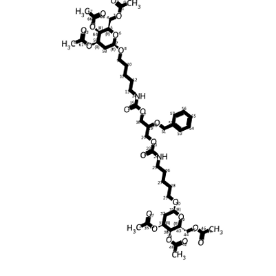 CC(=O)OC[C@H]1O[C@@H](OCCCCCNC(=O)OCC(COC(=O)NCCCCCO[C@H]2C[C@@H](OC(C)=O)[C@@H](OC(C)=O)[C@@H](COC(C)=O)O2)OCc2ccccc2)C[C@@H](OC(C)=O)[C@H]1OC(C)=O